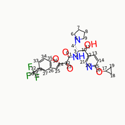 O=C(N[C@H](CN1CCCC1)[C@H](O)c1ccc(OC2CC2)nc1)C(=O)c1cc2cc(C(F)(F)F)ccc2o1